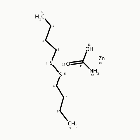 CCCCSSCCCC.NC(=O)O.[Zn]